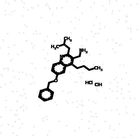 CCCCc1c(CN)c(CC(C)C)nc2ccc(OCc3ccccc3)cc12.Cl.Cl